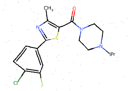 Cc1nc(-c2ccc(Cl)c(F)c2)sc1C(=O)N1CCN(C(C)C)CC1